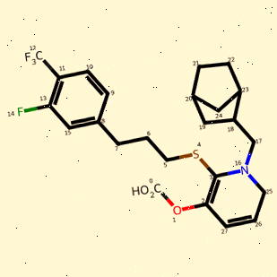 O=C(O)OC1=C(SCCCc2ccc(C(F)(F)F)c(F)c2)N(CC2CC3CCC2C3)CC=C1